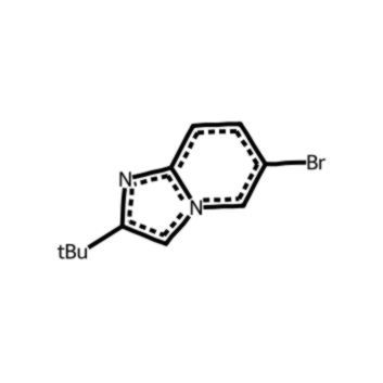 CC(C)(C)c1cn2cc(Br)ccc2n1